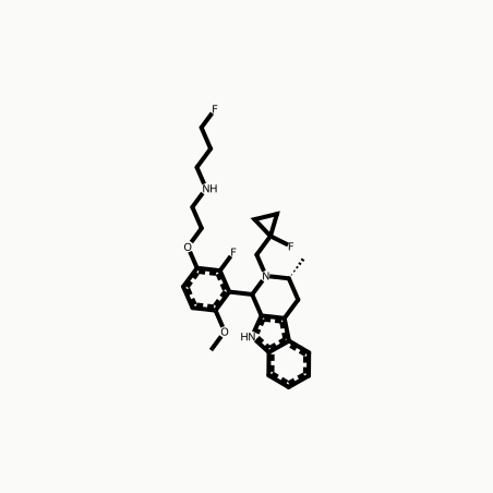 COc1ccc(OCCNCCCF)c(F)c1C1c2[nH]c3ccccc3c2C[C@@H](C)N1CC1(F)CC1